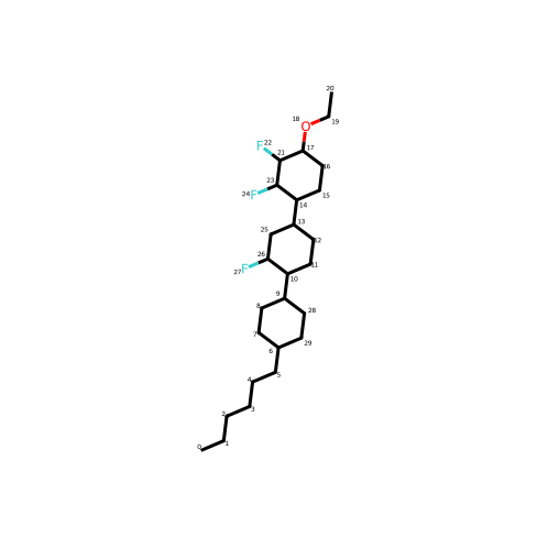 CCCCCCC1CCC(C2CCC(C3CCC(OCC)C(F)C3F)CC2F)CC1